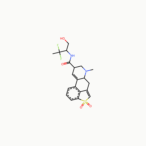 CN1CC(C(=O)NC(CO)C(C)(F)F)C=C2c3cccc4c3C(=CS4(=O)=O)CC21